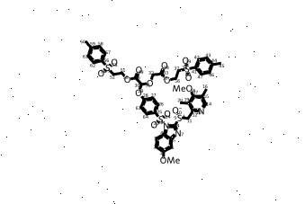 COc1ccc2c(c1)nc([S+]([O-])Cc1ncc(C)c(OC)c1C)n2S(=O)(=O)c1ccc(OC(OCC(=O)OCCS(=O)(=O)c2ccc(C)cc2)C(=O)OCCS(=O)(=O)c2ccc(C)cc2)cc1